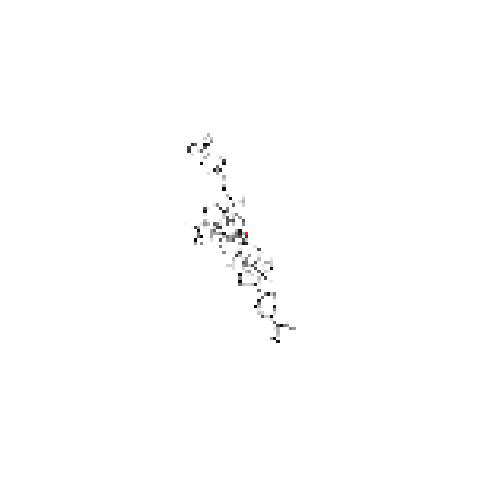 COC(=O)c1ccc(C2=CC[C@]3(C)[C@H]4CC[C@@H]5[C@H]6[C@H](C(C)=O)CC[C@]6(NCCN6CCS(=O)(=O)CC6)CC[C@@]5(C)[C@]4(C)CC[C@H]3C2(C)C)cc1